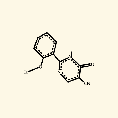 CCOc1ccccc1-c1ncc(C#N)c(=O)[nH]1